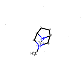 [2H]N1C2CCC1CN(C)C2